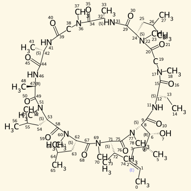 C/C=C/C[C@@H](C)[C@@H](O)[C@H]1C(=O)N[C@@H](CC)C(=O)N(C)CC(=O)N(C)[C@@H](CC(C)C)C(=O)N[C@@H](C)C(=O)N(C)CC(=O)N[C@@H](C)C(=O)N[C@H](C)C(=O)N(C)[C@@H](CC(C)C)C(=O)N(C)[C@@H](CC(C)C)C(=O)N(C)[C@@H](C(C)C)C(=O)N1C